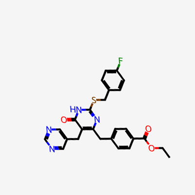 CCOC(=O)c1ccc(Cc2nc(SCc3ccc(F)cc3)[nH]c(=O)c2Cc2cncnc2)cc1